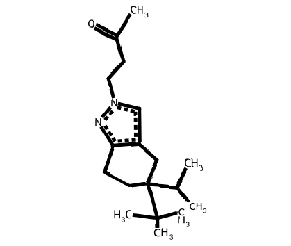 CC(=O)CCn1cc2c(n1)CCC(C(C)C)(C(C)(C)C)C2